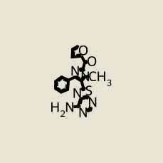 Cn1c(C(=O)c2ccco2)nc(-c2ccccc2)c1-c1nc2c(N)ncnc2s1